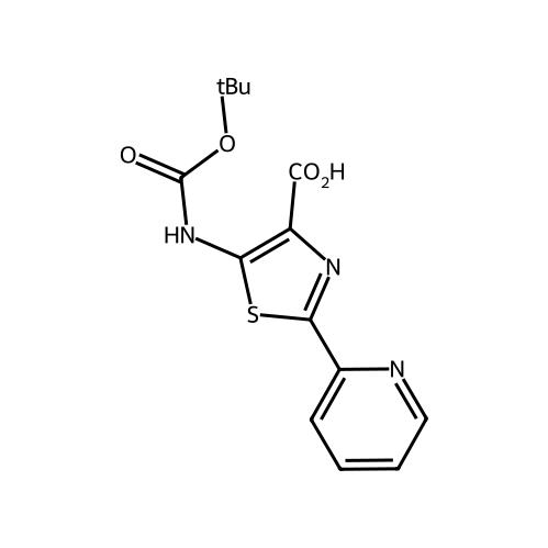 CC(C)(C)OC(=O)Nc1sc(-c2ccccn2)nc1C(=O)O